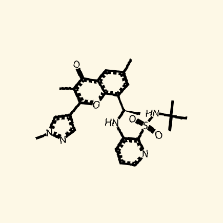 Cc1cc([C@@H](C)Nc2cccnc2S(=O)(=O)NC(C)(C)C)c2oc(-c3cnn(C)c3)c(C)c(=O)c2c1